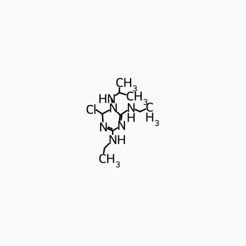 CCNC1=NC(Cl)N(NC(C)C)C(NCC)=N1